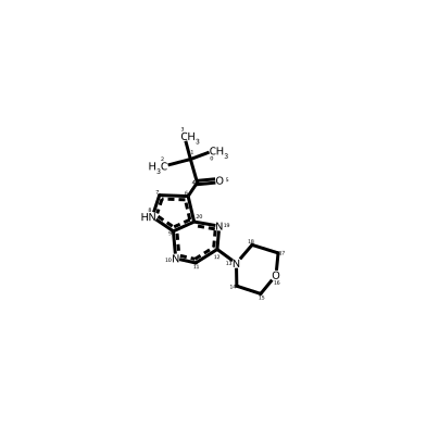 CC(C)(C)C(=O)c1c[nH]c2ncc(N3CCOCC3)nc12